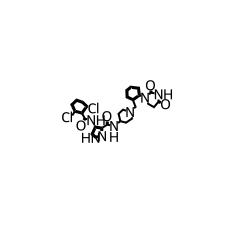 O=C1CCN(c2ccccc2CN2CCC(NC(=O)c3n[nH]cc3NC(=O)c3c(Cl)cccc3Cl)CC2)C(=O)N1